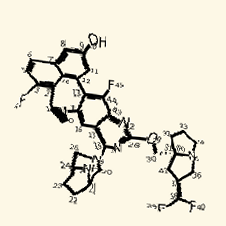 C#Cc1c(F)ccc2cc(O)cc(-c3c(Cl)cc4c(N5CC6CCC(C5)N6)nc(OC[C@]56CCCN5CC(=C(F)F)C6)nc4c3F)c12